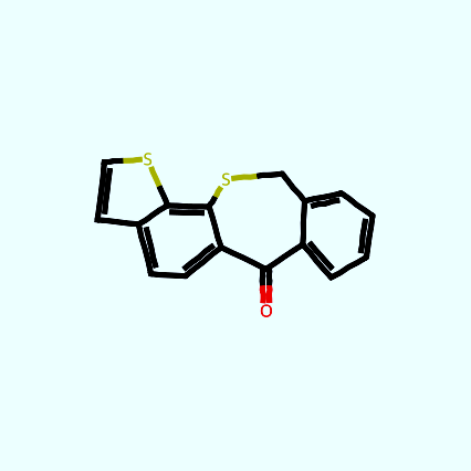 O=C1c2ccccc2CSc2c1ccc1ccsc21